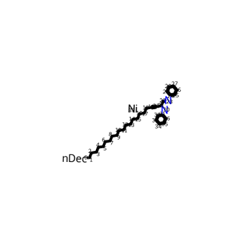 CCCCCCCCCCCCCCCCCCCCCCCCCCCCC#CC(C=Nc1ccccc1)=Nc1ccccc1.[Ni]